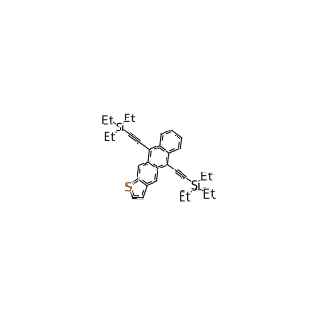 CC[Si](C#Cc1c2ccccc2c(C#C[Si](CC)(CC)CC)c2cc3sccc3cc12)(CC)CC